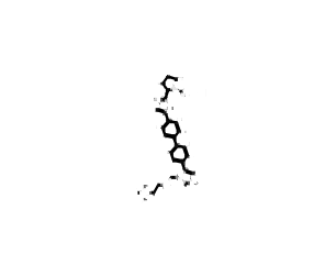 C[Si](C)(C)CCOCn1cncc1-c1ccc(-c2ccc(-c3cnc(C4CCCN4C(=O)O)[nH]3)cc2)cc1